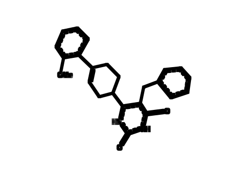 COc1ccccc1C1=CCC(c2[nH]c(=O)[nH]c(=O)c2Cc2ccccc2)CC1